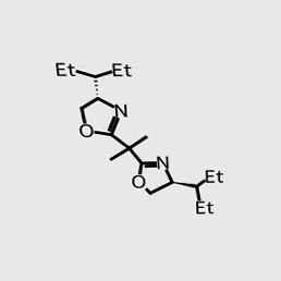 CCC(CC)[C@H]1COC(C(C)(C)C2=N[C@@H](C(CC)CC)CO2)=N1